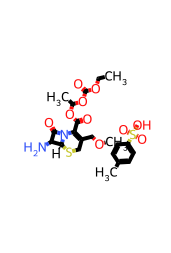 CCOC(=O)OC(C)OC(=O)C1=C(COC)CS[C@H]2C(N)C(=O)N12.Cc1ccc(S(=O)(=O)O)cc1